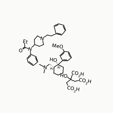 CCC(=O)N(c1ccccc1)C1CCN(CCc2ccccc2)CC1.COc1cccc([C@@]2(O)CCCC[C@@H]2CN(C)C)c1.O=C(O)CC(O)(CC(=O)O)C(=O)O